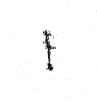 NCN[C@@H](CCCCNC(=O)CN(CC(=O)O)C(=O)CCCCCCCCCCCCCCCOc1ccc(-c2nnn[nH]2)cc1)C(=O)CC(=O)O